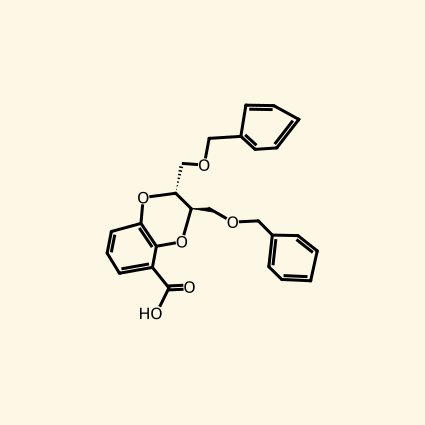 O=C(O)c1cccc2c1O[C@H](COCc1ccccc1)[C@@H](COCc1ccccc1)O2